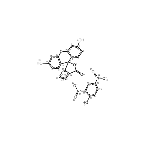 O=C1OC2(c3ccc(O)cc3Oc3cc(O)ccc32)c2ccccc21.O=[N+]([O-])c1ccc(O)c([N+](=O)[O-])c1